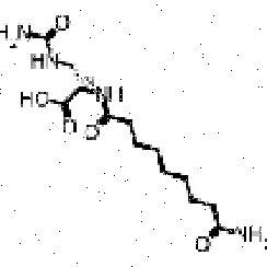 NC(=O)CCCCCCCC(=O)N[C@@H](CNC(N)=O)C(=O)O